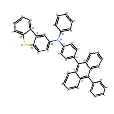 c1ccc(-c2c3ccccc3c(-c3ccc(N(c4ccccc4)c4ccc5sc6ccccc6c5c4)cc3)c3ccccc23)cc1